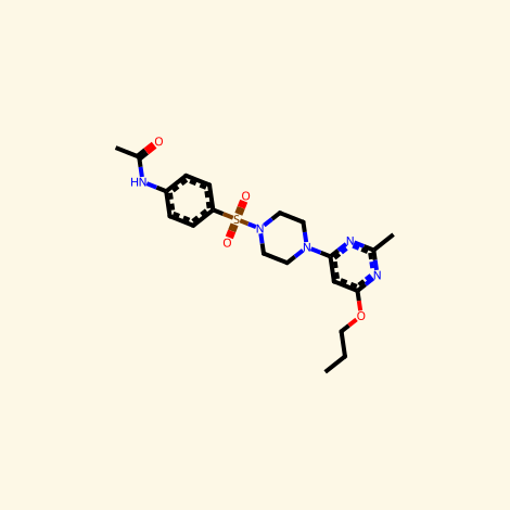 CCCOc1cc(N2CCN(S(=O)(=O)c3ccc(NC(C)=O)cc3)CC2)nc(C)n1